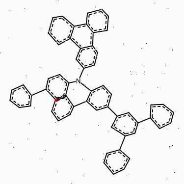 c1ccc(-c2ccc(N(c3ccc4c5ccccc5c5ccccc5c4c3)c3ccc(-c4cc(-c5ccccc5)cc(-c5ccccc5)c4)cc3-c3ccccc3)cc2)cc1